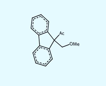 COCC1(C(C)=O)c2ccccc2-c2ccccc21